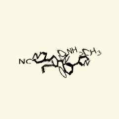 Cc1cncc(-c2ccc3c(c2)[C@@]2(COC(N)=N2)c2cc(-c4ccnc(C#N)c4)ncc2O3)c1